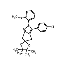 COc1ccccc1-n1nc2c(c1-c1ccc(Cl)cc1)CC1(C2)OC(C)(C)C(C)(C)O1